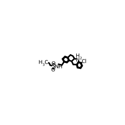 CCCS(=O)(=O)NCCc1ccc2c(c1)C(Cc1cccc(Cl)c1)C(N)CC2